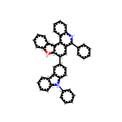 c1ccc(-c2nc3ccccc3c3c2cc(-c2ccc4c(c2)c2ccccc2n4-c2ccccc2)c2oc4ccccc4c23)cc1